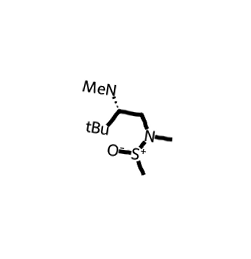 CN[C@H](CN(C)[S+](C)[O-])C(C)(C)C